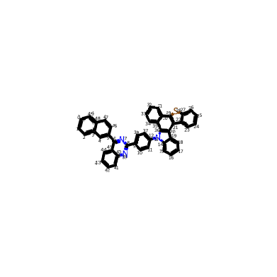 c1ccc2cc(-c3nc(-c4ccc(-n5c6ccccc6c6c7c8ccccc8sc7c7ccccc7c65)cc4)nc4ccccc34)ccc2c1